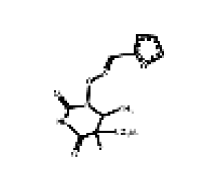 CCOC(=O)C1(F)C(=O)NC(=O)N(ON=Cc2ccco2)C1C